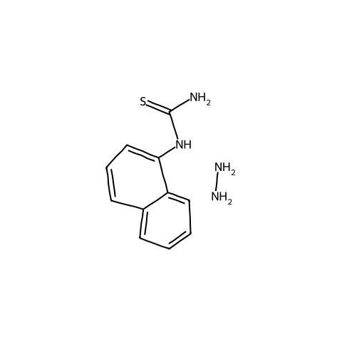 NC(=S)Nc1cccc2ccccc12.NN